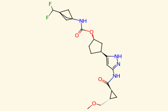 COC[C@H]1C[C@@H]1C(=O)Nc1cc([C@H]2CC[C@@H](OC(=O)NC34CC(C(F)F)(C3)C4)C2)[nH]n1